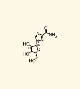 NC(=O)c1ncn([C@@H]2OC(CO)C(O)[C@H]2O)n1